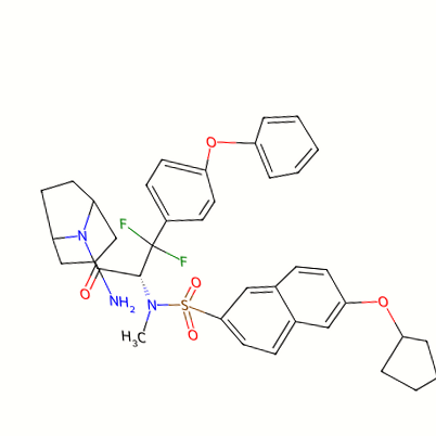 CN([C@H](C(=O)N1C2CCC1CC(N)C2)C(F)(F)c1ccc(Oc2ccccc2)cc1)S(=O)(=O)c1ccc2cc(OC3CCCC3)ccc2c1